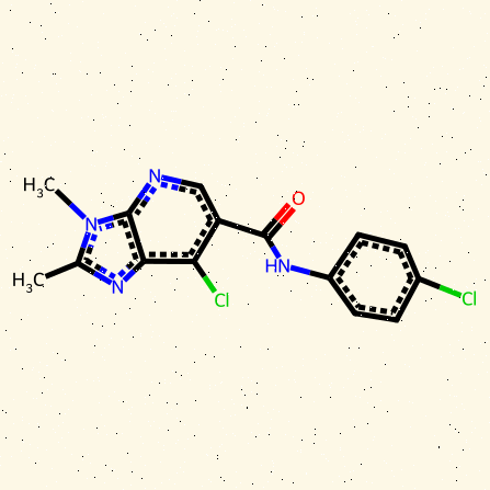 Cc1nc2c(Cl)c(C(=O)Nc3ccc(Cl)cc3)cnc2n1C